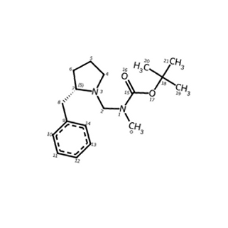 CN(CN1CCC[C@H]1Cc1ccccc1)C(=O)OC(C)(C)C